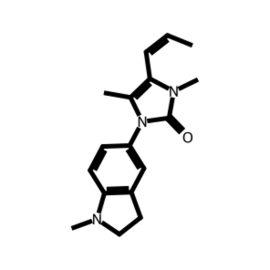 C/C=C\c1c(C)n(-c2ccc3c(c2)CCN3C)c(=O)n1C